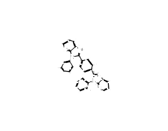 c1ccc(N2c3ncccc3NC2c2ccc(-c3nc4cccnc4n3-c3ccccc3)cc2)cc1